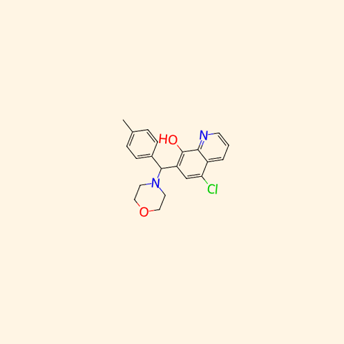 Cc1ccc(C(c2cc(Cl)c3cccnc3c2O)N2CCOCC2)cc1